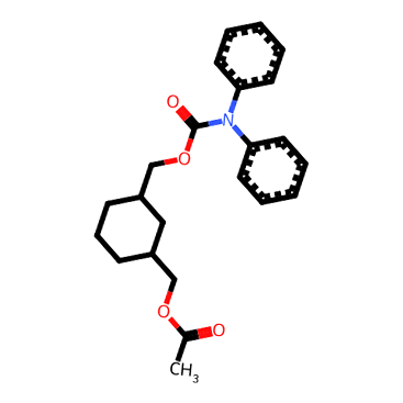 CC(=O)OCC1CCCC(COC(=O)N(c2ccccc2)c2ccccc2)C1